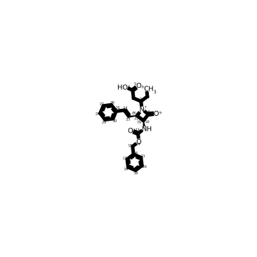 CCC(CC(=O)O)N1C(=O)[C@@H](NC(=O)OCc2ccccc2)[C@H]1C=Cc1ccccc1